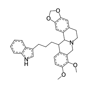 COc1ccc2c(c1OC)CN1CCc3cc4c(cc3C1C2CCCc1c[nH]c2ccccc12)OCO4